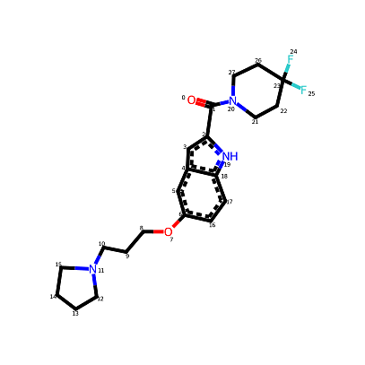 O=C(c1cc2cc(OCCCN3CCCC3)ccc2[nH]1)N1CCC(F)(F)CC1